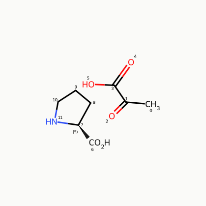 CC(=O)C(=O)O.O=C(O)[C@@H]1CCCN1